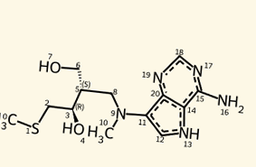 CSC[C@H](O)[C@H](CO)CN(C)c1c[nH]c2c(N)ncnc12